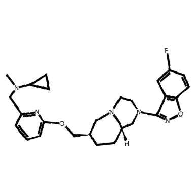 CN(Cc1cccc(OC[C@@H]2CC[C@H]3CN(c4noc5ccc(F)cc45)CCN3C2)n1)C1CC1